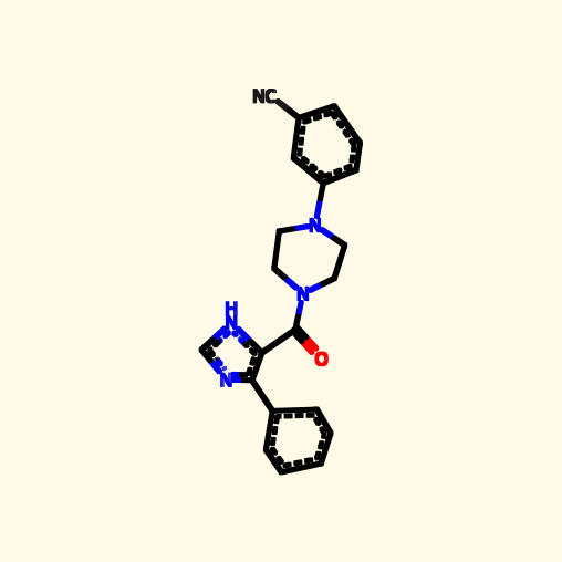 N#Cc1cccc(N2CCN(C(=O)c3[nH]cnc3-c3ccccc3)CC2)c1